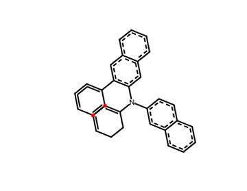 C1=C=C(c2cc3ccccc3cc2N(C2=CC=CCC2)c2ccc3ccccc3c2)C=CC=1